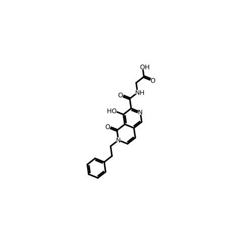 O=C(O)CNC(=O)c1ncc2ccn(CCc3ccccc3)c(=O)c2c1O